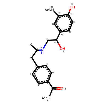 COC(=O)c1ccc(CC(C)NCC(O)c2ccc(O)c(NC(C)=O)c2)cc1